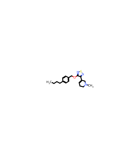 CCCCc1ccc(COc2nsnc2C2=CCCN(C)C2)cc1